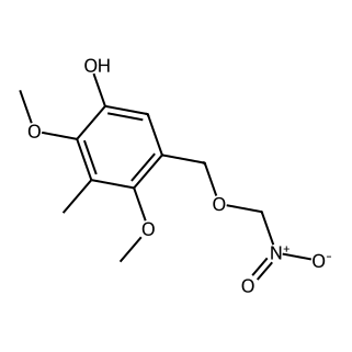 COc1c(O)cc(COC[N+](=O)[O-])c(OC)c1C